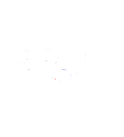 CC[C@@H](O)[C@@H](c1ccccc1C(F)(F)F)[SH]1C[C@H](O)[C@H](n2cc(-c3cc(F)c(F)c(F)c3)nn2)[C@@H](O)[C@H]1CO